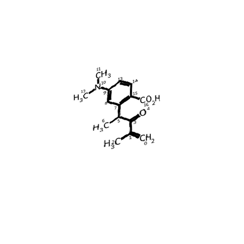 C=C(C)C(=O)C(C)c1cc(N(C)C)ccc1C(=O)O